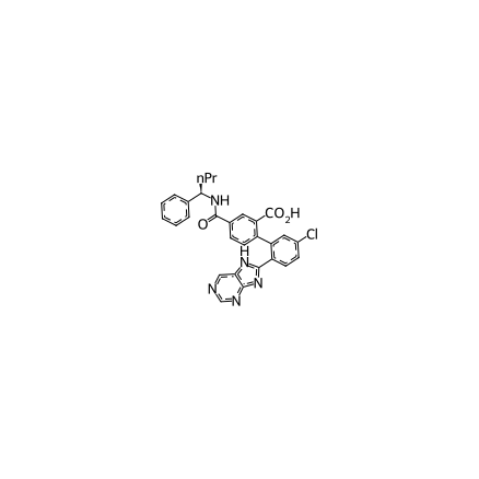 CCC[C@@H](NC(=O)c1ccc(-c2cc(Cl)ccc2-c2nc3ncncc3[nH]2)c(C(=O)O)c1)c1ccccc1